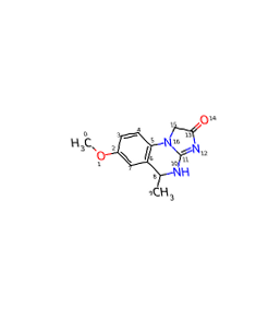 COc1ccc2c(c1)C(C)NC1=NC(=O)CN12